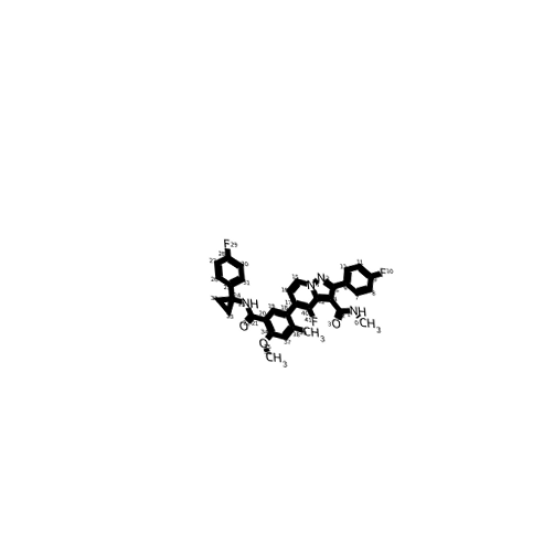 CNC(=O)c1c(-c2ccc(F)cc2)nn2ccc(-c3cc(C(=O)NC4(c5ccc(F)cc5)CC4)c(OC)cc3C)c(F)c12